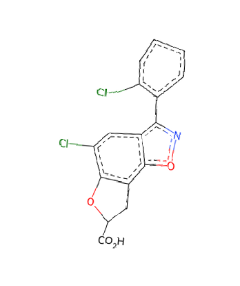 O=C(O)C1Cc2c(c(Cl)cc3c(-c4ccccc4Cl)noc23)O1